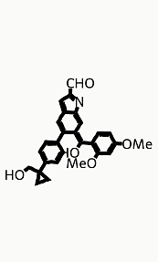 COc1ccc(C(O)=c2cc3c(cc2-c2ccc(C4(CO)CC4)cc2)=CC(C=O)=N3)c(OC)c1